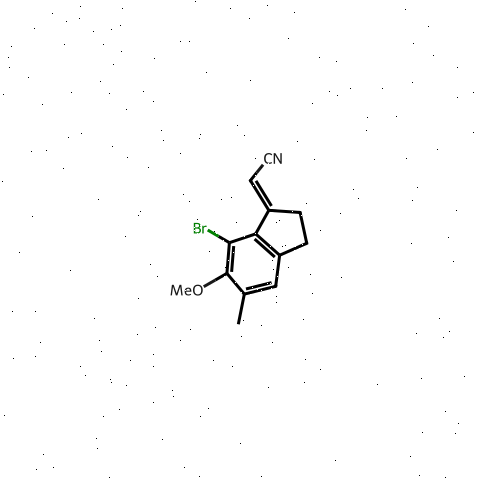 COc1c(C)cc2c(c1Br)C(=CC#N)CC2